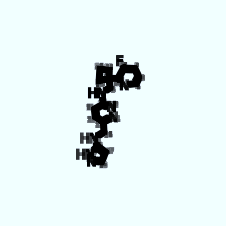 Fc1cccnc1C1(CNc2ccc(CNc3ccn[nH]3)nn2)CCC1